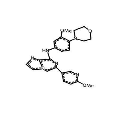 COc1ccc(-c2cn3ccnc3c(Nc3ccc(N4CCOCC4)c(OC)c3)n2)cn1